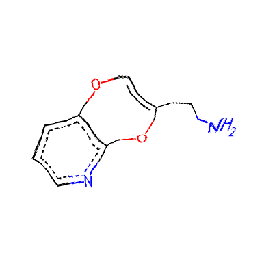 NCC1=COc2cccnc2O1